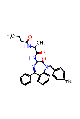 C[C@H](NC(=O)CCC(F)(F)F)C(=O)NC1N=C(c2ccccc2)c2ccccc2N(Cc2ccc(C(C)(C)C)cc2)C1=O